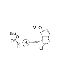 COc1ccc2ncc(Cl)c(C#CC34CCC(NC(=O)OC(C)(C)C)(CC3)CC4)c2n1